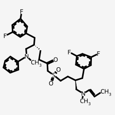 C/C=C/N(C)C[C@@H](CCS(=O)(=O)CC(=O)CC[C@@H](Cc1cc(F)cc(F)c1)CN(C)c1ccccc1)Cc1cc(F)cc(F)c1